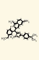 CCc1ccc(F)c(C(c2cc3cc(N)ccc3c(N)n2)c2nc(-c3ccc(N(C)C)cc3)nn2C)c1